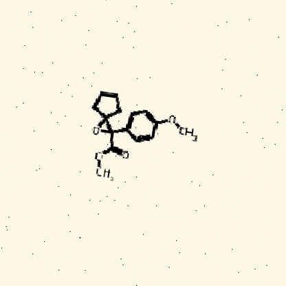 COC(=O)C1(c2ccc(OC)cc2)OC12CCCC2